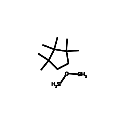 CC1(C)CCC(C)(C)C1(C)C.[SiH3]O[SiH3]